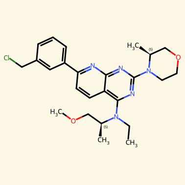 CCN(c1nc(N2CCOC[C@@H]2C)nc2nc(-c3cccc(CCl)c3)ccc12)[C@@H](C)COC